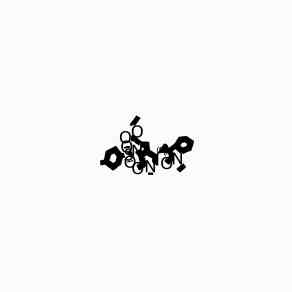 CCOC(=O)c1cc2c([C@@H]3C[C@@]34C(=O)N(CC)c3ccccc34)cn(C)c(=O)c2n1S(=O)(=O)c1ccc(C)cc1